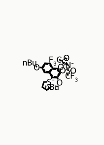 CCCCOc1ccc2ccc(OCCCC)c([S+]3CCCC3)c2c1.O=S(=O)([N-]S(=O)(=O)C(F)(F)F)C(F)(F)F